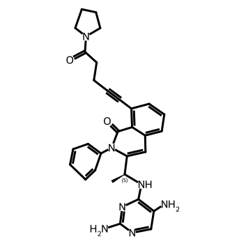 C[C@H](Nc1nc(N)ncc1N)c1cc2cccc(C#CCCC(=O)N3CCCC3)c2c(=O)n1-c1ccccc1